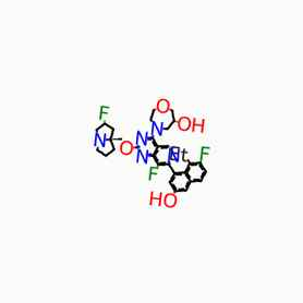 CCc1c(F)ccc2cc(O)cc(-c3ncc4c(N5CCOC[C@H](O)C5)nc(OC[C@@]56CCCN5C[C@H](F)C6)nc4c3F)c12